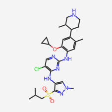 Cc1cc(Nc2ncc(Cl)c(Nc3cn(C)nc3S(=O)(=O)CC(C)C)n2)c(OC2CC2)cc1C1CCNCC1C